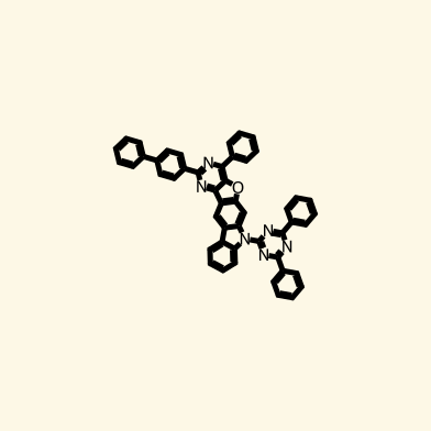 c1ccc(-c2ccc(-c3nc(-c4ccccc4)c4oc5cc6c(cc5c4n3)c3ccccc3n6-c3nc(-c4ccccc4)nc(-c4ccccc4)n3)cc2)cc1